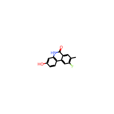 Cc1cc2c(=O)[nH]c3cc(O)ccc3c2cc1F